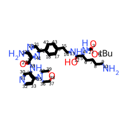 CC(C)(C)OC(=O)NC(CCCCN)C(O)NCCc1ccc(-c2cnc(N)c(C(=O)Nc3cnccc3N3CCOCC3)n2)cc1